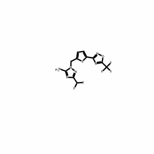 Nc1nc(C(F)F)nn1Cc1ccc(-c2noc(C(F)(F)F)n2)s1